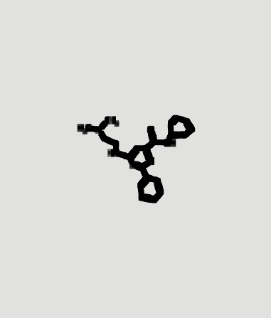 CN(C)CCNc1cc(C(=O)Nc2ccccc2)nc(-c2ccccc2)n1